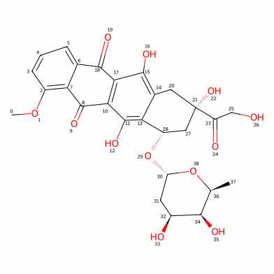 COc1cccc2c1C(=O)c1c(O)c3c(c(O)c1C2=O)C[C@@](O)(C(=O)CO)C[C@@H]3O[C@H]1C[C@H](O)[C@H](O)[C@H](C)O1